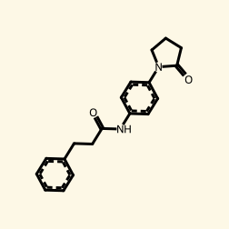 O=C(CCc1ccccc1)Nc1ccc(N2CCCC2=O)cc1